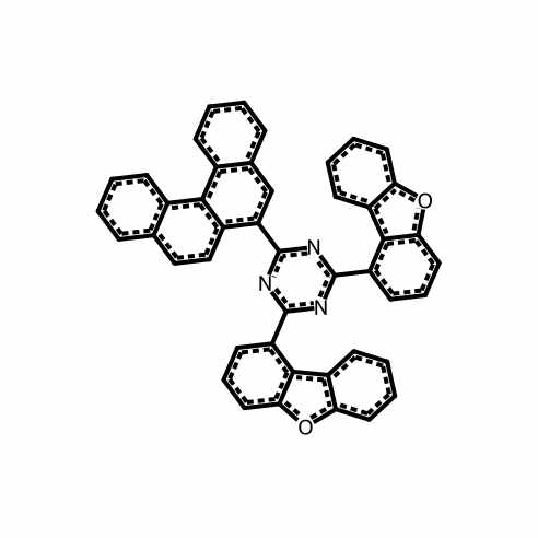 c1ccc2c(c1)ccc1c(-c3nc(-c4cccc5oc6ccccc6c45)nc(-c4cccc5oc6ccccc6c45)n3)cc3ccccc3c12